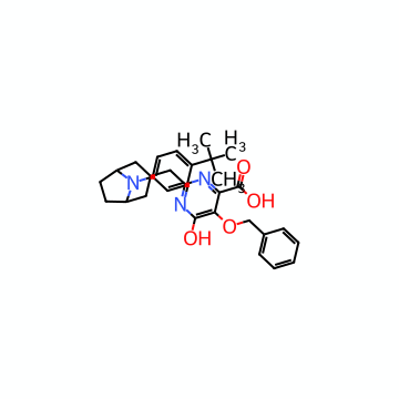 CC(C)(C)c1ccc(N2C3CCC2CC(Cc2nc(O)c(OCc4ccccc4)c(C(=O)O)n2)C3)cc1